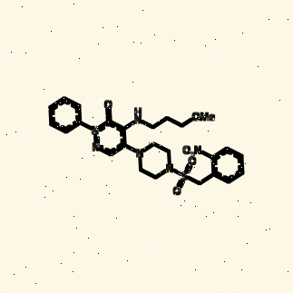 COCCCNc1c(N2CCN(S(=O)(=O)Cc3ccccc3[N+](=O)[O-])CC2)cnn(-c2ccccc2)c1=O